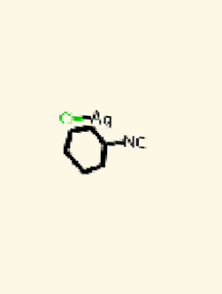 [C-]#[N+]C1CCCCC1.[Cl][Ag]